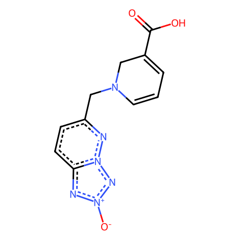 O=C(O)C1=CC=CN(Cc2ccc3n[n+]([O-])nn3n2)C1